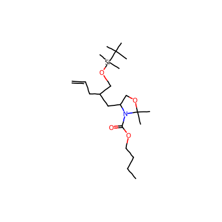 C=CCC(CO[Si](C)(C)C(C)(C)C)CC1COC(C)(C)N1C(=O)OCCCC